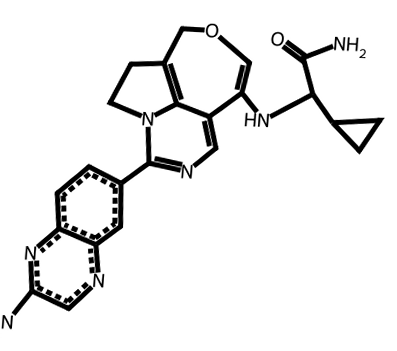 NC(=O)C(NC1=COCC2=C3C1=CN=C(c1ccc4nc(N)cnc4c1)N3CC2)C1CC1